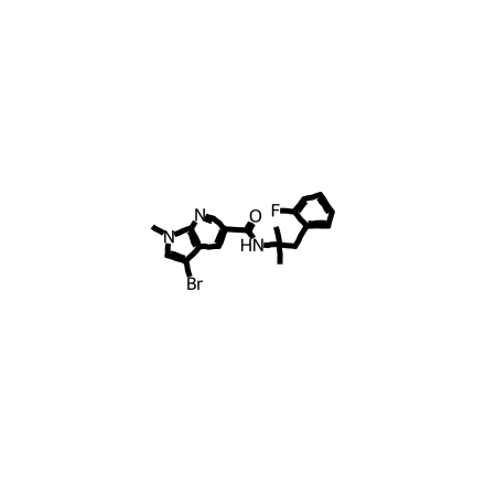 Cn1cc(Br)c2cc(C(=O)NC(C)(C)Cc3ccccc3F)cnc21